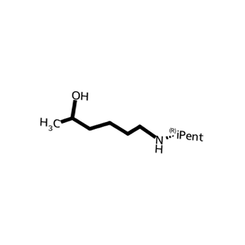 CCC[C@@H](C)NCCCCC(C)O